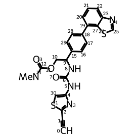 C#Cc1nc(NC(=O)NC(COC(=O)NC)c2ccc(-c3cccc4ncsc34)cc2)cs1